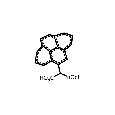 CCCCCCCCC(C(=O)O)c1cc2cccc3ccc4cccc1c4c32